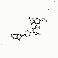 CN(C(=O)Nc1cc(C(F)(F)F)cn(C)c1=O)C1CCN(c2cnc3cncn3c2)CC1